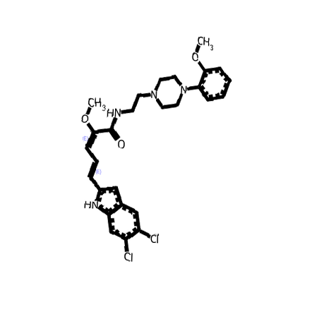 CO/C(=C/C=C/c1cc2cc(Cl)c(Cl)cc2[nH]1)C(=O)NCCN1CCN(c2ccccc2OC)CC1